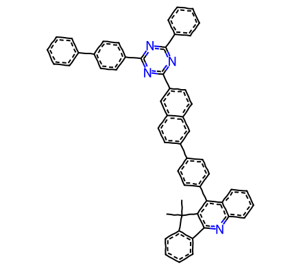 CC1(C)c2ccccc2-c2nc3ccccc3c(-c3ccc(-c4ccc5cc(-c6nc(-c7ccccc7)nc(-c7ccc(-c8ccccc8)cc7)n6)ccc5c4)cc3)c21